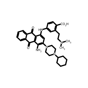 CN(C)CCc1cc(Nc2cc(N3CCN(C4CCCCC4)CC3)c(N)c3c2C(=O)c2ccccc2C3=O)ccc1C(=O)O